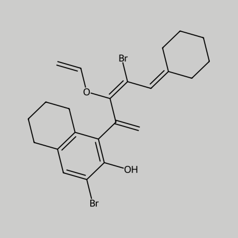 C=CO/C(C(=C)c1c(O)c(Br)cc2c1CCCC2)=C(\Br)C=C1CCCCC1